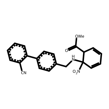 COC(=O)C1C=CC=CC1(NCc1ccc(-c2ccccc2C#N)cc1)[N+](=O)[O-]